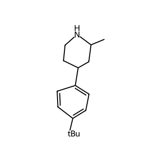 CC1CC(c2ccc(C(C)(C)C)cc2)CCN1